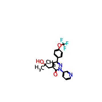 CC(C)(O)Cc1cc(-c2ccc(OC(F)(F)F)cc2)nn(-c2cccnc2)c1=O